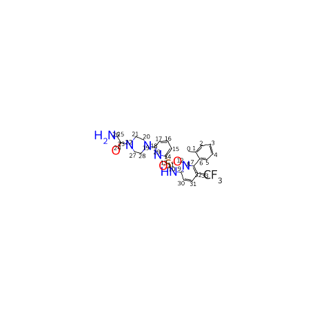 Cc1ccccc1-c1nc(NS(=O)(=O)c2cccc(N3CCN(C(=O)CN)CC3)n2)ccc1C(F)(F)F